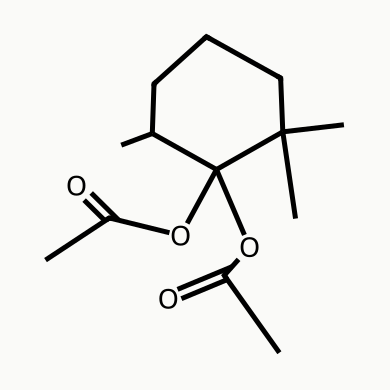 CC(=O)OC1(OC(C)=O)C(C)CCCC1(C)C